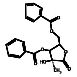 C[C@@]1(O)C(=O)O[C@H](COC(=O)c2ccccc2)C1OC(=O)c1ccccc1